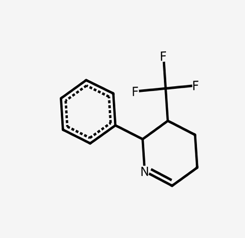 FC(F)(F)C1CCC=NC1c1ccccc1